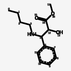 CCCCNC(c1ccccc1)C(O)C(=O)OC